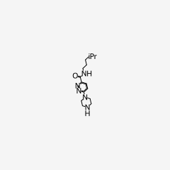 CC(C)CCCNC(=O)c1ccc(N2CCNCC2)nn1